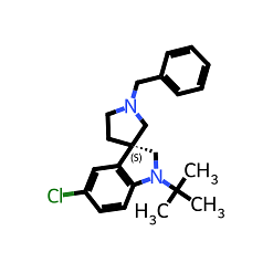 CC(C)(C)N1C[C@@]2(CCN(Cc3ccccc3)C2)c2cc(Cl)ccc21